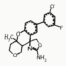 CC12CCOCC1C1(COC(N)=N1)c1cc(-c3cc(F)cc(Cl)c3)ccc1O2